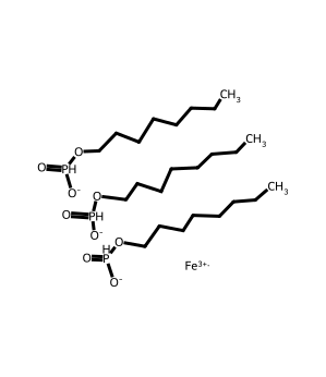 CCCCCCCCO[PH](=O)[O-].CCCCCCCCO[PH](=O)[O-].CCCCCCCCO[PH](=O)[O-].[Fe+3]